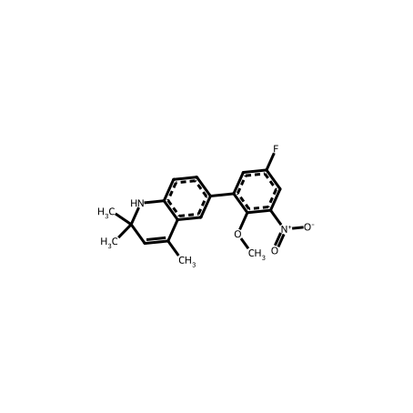 COc1c(-c2ccc3c(c2)C(C)=CC(C)(C)N3)cc(F)cc1[N+](=O)[O-]